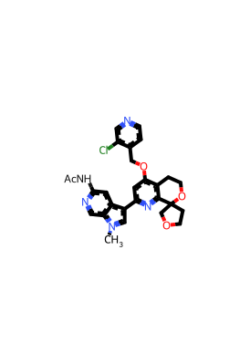 CC(=O)Nc1cc2c(-c3cc(OCc4ccncc4Cl)c4c(n3)C3(CCOC3)OCC4)cn(C)c2cn1